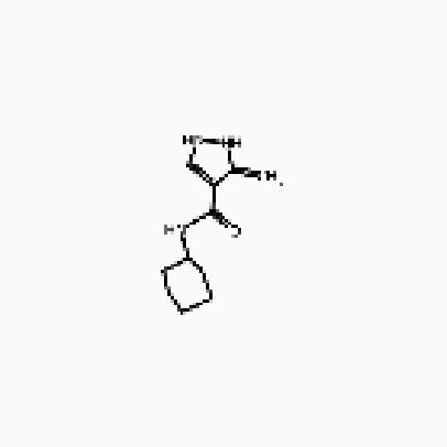 C=C1NNC=C1C(=O)NC1CCCCC1